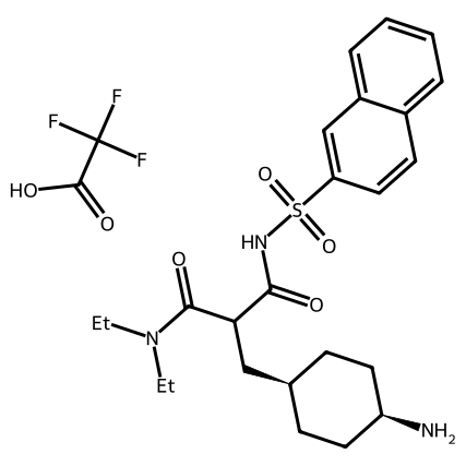 CCN(CC)C(=O)C(C[C@H]1CC[C@@H](N)CC1)C(=O)NS(=O)(=O)c1ccc2ccccc2c1.O=C(O)C(F)(F)F